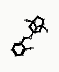 CN1[C@@H]2CC[C@H]1C[C@H](OCc1ccccc1F)C2